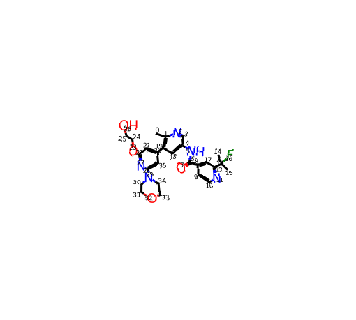 Cc1ncc(NC(=O)c2ccnc(C(C)(C)F)c2)cc1-c1cc(OCCO)nc(N2CCOCC2)c1